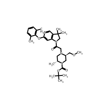 COC[C@H]1CN(C(=O)OC(C)(C)C)[C@H](C)CN1CC(=O)N1CC(C)(C)c2cnc(Oc3c(C)cccc3C)cc21